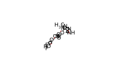 Cc1nc(C2CCC(CS(=O)(=O)N3CCCC(COc4ccc(OC(F)(F)F)cc4)C3)CC2)c2c(cnc3[nH]ccc32)n1